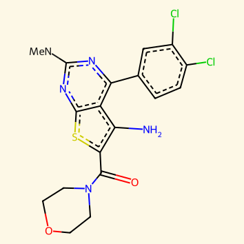 CNc1nc(-c2ccc(Cl)c(Cl)c2)c2c(N)c(C(=O)N3CCOCC3)sc2n1